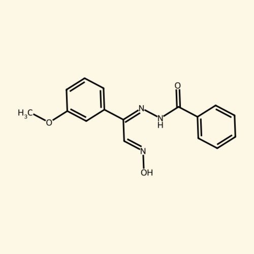 COc1cccc(C(C=NO)=NNC(=O)c2ccccc2)c1